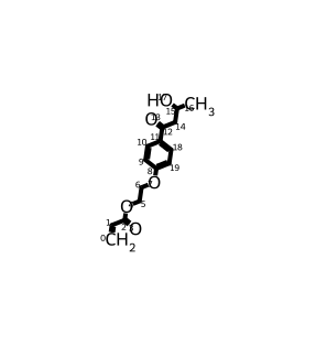 C=CC(=O)OCCOc1ccc(C(=O)CC(C)O)cc1